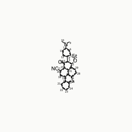 CCOc1c(-c2ccc(N(C)C)cc2)c(=O)c2c(C#N)cc3c4ccccc4sc4ccc1c2c43